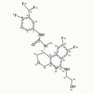 CN(C(=O)Nc1ccc(F)c(C(F)F)c1)[C@H]1COCc2nc(NCCO)c3cc(F)c(F)cc3c21